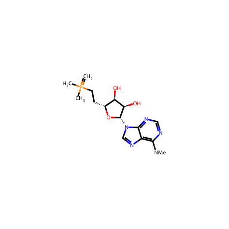 C=P(C)(C)CC[C@H]1O[C@@H](n2cnc3c(NC)ncnc32)[C@H](O)[C@@H]1O